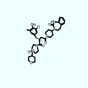 Cc1cc(C[C@@H](CC(=O)N2CCC(N3CCc4ccccc4NC3=O)CC2)C(=O)N2CC[N+]([O-])(C3CCOCC3)CC2)cc(Cl)c1O